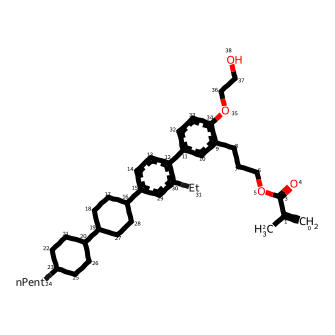 C=C(C)C(=O)OCCCc1cc(-c2ccc(C3CCC(C4CCC(CCCCC)CC4)CC3)cc2CC)ccc1OCCO